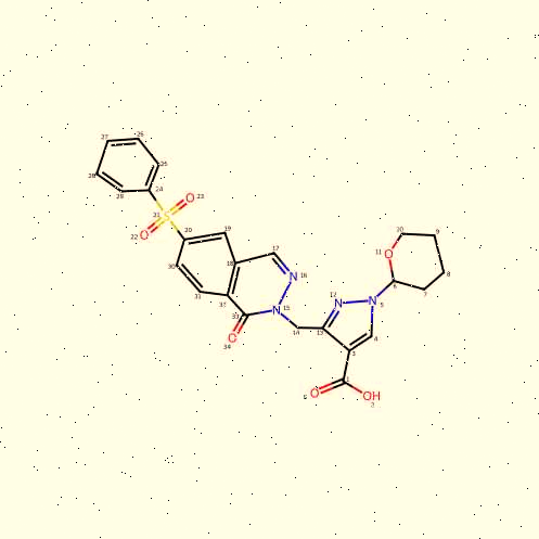 O=C(O)c1cn(C2CCCCO2)nc1Cn1ncc2cc(S(=O)(=O)c3ccccc3)ccc2c1=O